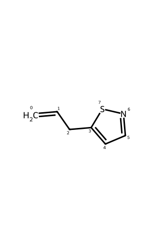 C=CCc1ccns1